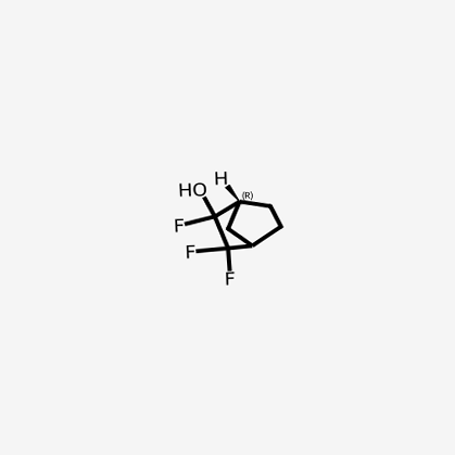 OC1(F)[C@@H]2CCC(C2)C1(F)F